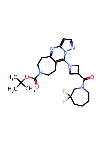 CC(C)(C)OC(=O)N1CCc2nc3ccnn3c(N3CC(C(=O)N4CCCCC(F)(F)C4)C3)c2CC1